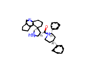 O=C([C@@H]1CNC[C@]12CCCc1ncc3c(c12)CCC3)N1CC[C@@H](c2ccccc2)C[C@H]1c1ccccc1